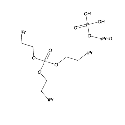 CC(C)CCOP(=O)(OCCC(C)C)OCCC(C)C.CCCCCOP(=O)(O)O